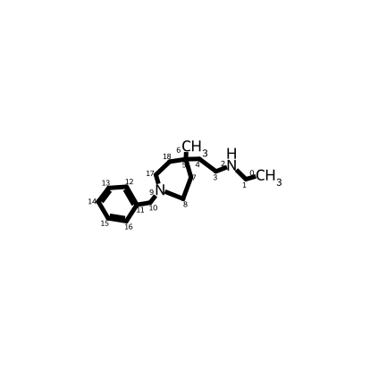 CCNCCC1(C)CCN(Cc2ccccc2)CC1